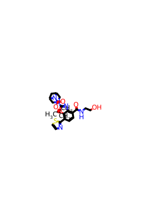 CC(C)(C)OC(=O)N1C2CC1CN(c1nc3c(C(=O)NCCO)ccc(-c4nccs4)c3o1)C2